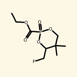 CCOC(=O)P1(=O)OCC(C)(C)C(CF)O1